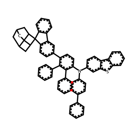 c1ccc(-c2ccc(N(c3ccc4c(c3)sc3ccccc34)c3ccc(-c4ccc5c(c4)-c4ccccc4C54C5CC6CC7CC4C75C6)c(-c4ccccc4)c3-c3ccccc3)cc2)cc1